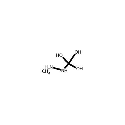 C.NNC(O)(O)O